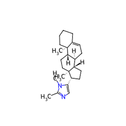 Cc1ncc([C@H]2CC[C@H]3[C@@H]4CC=C5CCCC[C@]5(C)[C@H]4CC[C@]23C)n1C